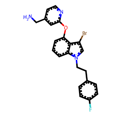 NCc1ccnc(Oc2cccc3c2c(Br)cn3CCc2ccc(F)cc2)c1